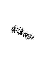 COc1nc(Nc2ccnc3nc(-c4nnsc4Cl)cnc23)ccc1C(F)(F)F